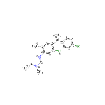 C=C(c1ccc(Br)cc1)c1cc(C)c(N=CN(C)CC)cc1Cl